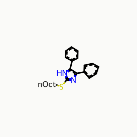 CCCCCCCCSc1nc(-c2ccccc2)c(-c2ccccc2)[nH]1